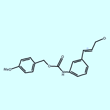 COc1ccc(COC(=O)Nc2cccc(/C=C/C[O])c2)cc1